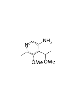 COc1c(C)ncc(N)c1C(C)OC